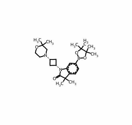 CC1(C)CN([C@H]2C[C@@H](N3C(=O)C(C)(C)c4ccc(B5OC(C)(C)C(C)(C)O5)cc43)C2)CCO1